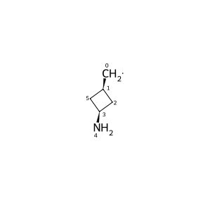 [CH2][C@H]1C[C@@H](N)C1